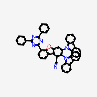 N#Cc1c(-n2c3ccccc3c3ccccc32)c(-n2c3ccccc3c3ccccc32)cc2oc3c(-c4nc(-c5ccccc5)nc(-c5ccccc5)n4)cccc3c12